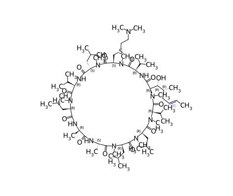 C/C=C/C[C@@H](C)[C@@H](O)[C@@H]1C(=O)N[C@H](C(C)C)C(=O)N(C)[C@H](CSCCN(C)C)C(=O)N(C)[C@@H](CC(C)C)C(=O)N[C@H](C(C)C)C(=O)N(C)[C@H](CC(C)C)C(=O)N[C@H](C)C(=O)N[C@@H](C)C(=O)N(C)[C@H](CC(C)C)C(=O)N(C)[C@H](CC(C)C)C(=O)N(C)[C@H](C(C)C)C(=O)N1C